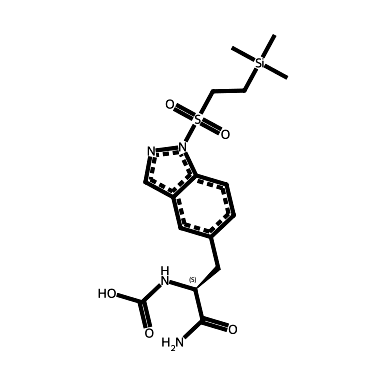 C[Si](C)(C)CCS(=O)(=O)n1ncc2cc(C[C@H](NC(=O)O)C(N)=O)ccc21